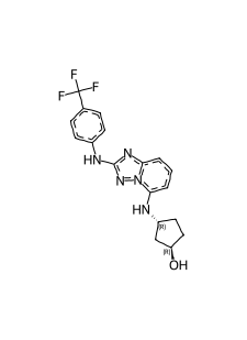 O[C@@H]1CC[C@@H](Nc2cccc3nc(Nc4ccc(C(F)(F)F)cc4)nn23)C1